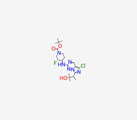 CC(c1nc(Cl)c2cnc(N[C@@H]3CCN(C(=O)OC(C)(C)C)C[C@H]3F)nn12)C(C)(C)O